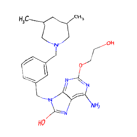 CC1CC(C)CN(Cc2cccc(Cn3c(O)nc4c(N)nc(OCCO)nc43)c2)C1